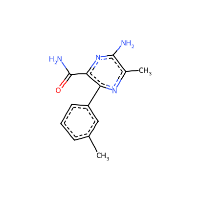 Cc1cccc(-c2nc(C)c(N)nc2C(N)=O)c1